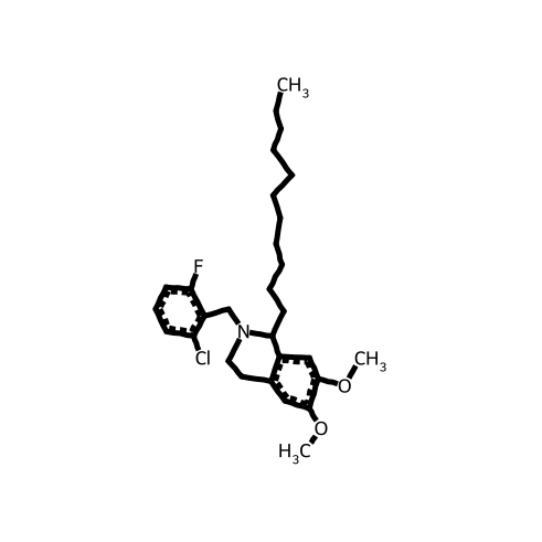 CCCCCCCCCCCC1c2cc(OC)c(OC)cc2CCN1Cc1c(F)cccc1Cl